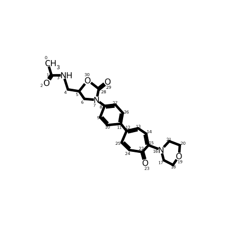 CC(=O)NCC1CN(c2ccc(-c3ccc(N4CCOCC4)c(=O)cc3)cc2)C(=O)O1